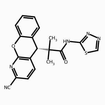 CC(C)(C(=O)Nc1nncs1)[C@H]1c2ccccc2Oc2nc(C#N)ccc21